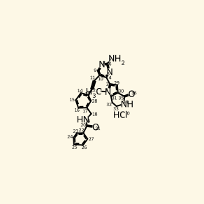 Cl.Cn1c(-c2nc(N)ncc2C#Cc2cccc(CNC(=O)c3ccccc3)c2)cc2c1CCNC2=O